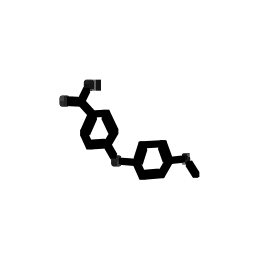 CSc1ccc(Oc2ccc(C(=O)O)cc2)cc1